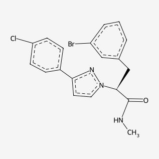 CNC(=O)[C@H](Cc1cccc(Br)c1)n1ccc(-c2ccc(Cl)cc2)n1